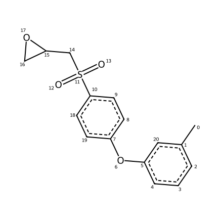 Cc1cccc(Oc2ccc(S(=O)(=O)CC3CO3)cc2)c1